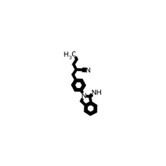 CCCC(C#N)Cc1ccc(N2Cc3ccccc3C2=N)cc1